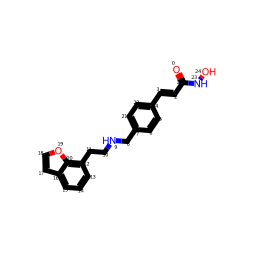 O=C(/C=C/c1ccc(CNCCc2cccc3ccoc23)cc1)NO